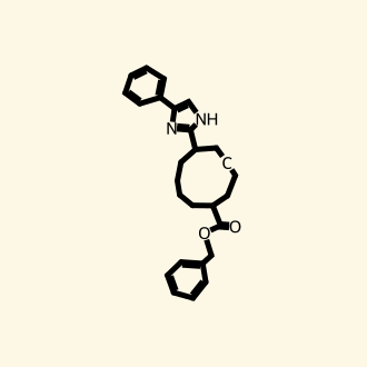 O=C(OCc1ccccc1)C1CCCCC(c2nc(-c3ccccc3)c[nH]2)CCCC1